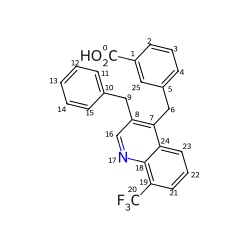 O=C(O)c1cccc(Cc2c(Cc3ccccc3)cnc3c(C(F)(F)F)cccc23)c1